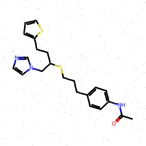 CC(=O)Nc1ccc(CCCSC(CCc2cccs2)Cn2ccnc2)cc1